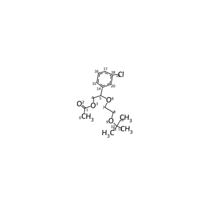 CC(=O)OCC(OCCOC(C)(C)C)c1cccc(Cl)c1